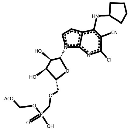 CC(=O)OCOP(=O)(O)COC[C@H]1O[C@@H](n2ccc3c(NC4CCCC4)c(C#N)c(Cl)nc32)[C@H](O)[C@@H]1O